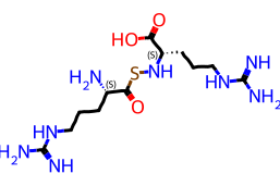 N=C(N)NCCC[C@H](NSC(=O)[C@@H](N)CCCNC(=N)N)C(=O)O